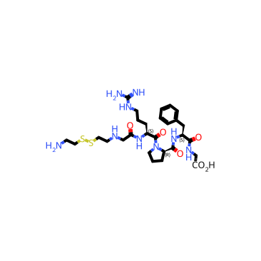 N=C(N)NCCC[C@H](NC(=O)CNCCSSCCN)C(=O)N1CCC[C@@H]1C(=O)N[C@@H](Cc1ccccc1)C(=O)NCC(=O)O